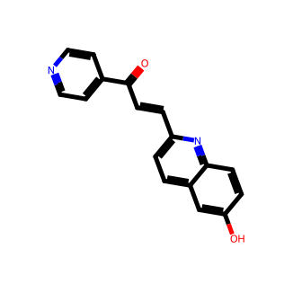 O=C(/C=C/c1ccc2cc(O)ccc2n1)c1ccncc1